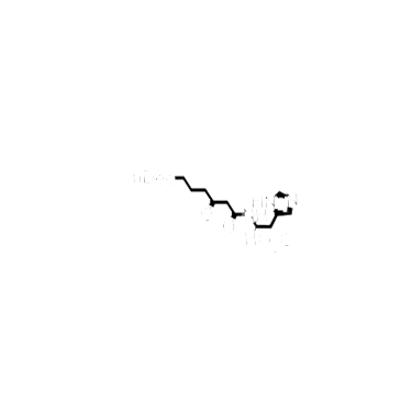 CCCCCCCCCCCCCC(=O)CC(=O)N[C@@H](Cc1cnc[nH]1)C(=O)O